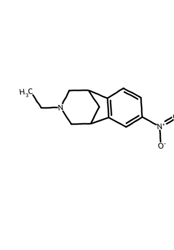 CCN1CC2CC(C1)c1cc([N+](=O)[O-])ccc12